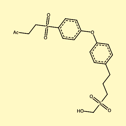 CC(=O)CCS(=O)(=O)c1ccc(Oc2ccc(CCCS(=O)(=O)CO)cc2)cc1